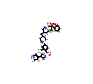 O=C(c1ccc(N2CCC(CC3CCN(C(=O)C(O)(c4ccccc4)C(F)(F)F)CC3)CC2)cc1Cl)N1CCC(c2ccncc2)C1